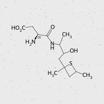 CC1CC(C)(CC(O)C(C)NC(=O)[C@@H](N)CC(=O)O)S1